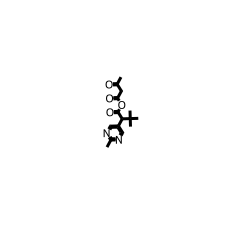 CC(=O)CC(=O)OC(=O)C(c1cnc(C)nc1)C(C)(C)C